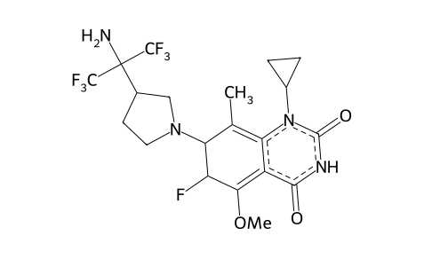 COC1=c2c(=O)[nH]c(=O)n(C3CC3)c2=C(C)C(N2CCC(C(N)(C(F)(F)F)C(F)(F)F)C2)C1F